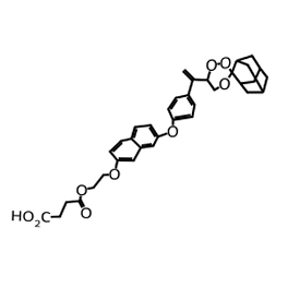 C=C(c1ccc(Oc2ccc3ccc(OCCOC(=O)CCC(=O)O)cc3c2)cc1)C1COC2(OO1)C1CC3CC(C1)CC2C3